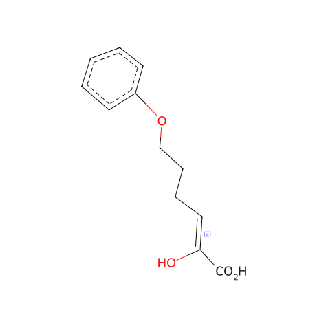 O=C(O)/C(O)=C/CCCOc1ccccc1